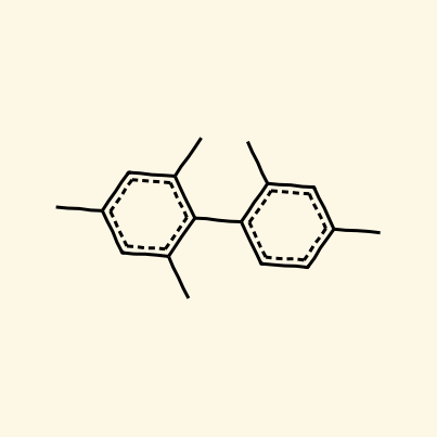 Cc1ccc(-c2c(C)cc(C)cc2C)c(C)c1